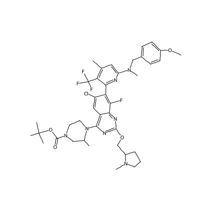 COc1ccc(CN(C)c2cc(C)c(C(F)(F)F)c(-c3c(Cl)cc4c(N5CCN(C(=O)OC(C)(C)C)CC5C)nc(OCC5CCCN5C)nc4c3F)n2)cc1